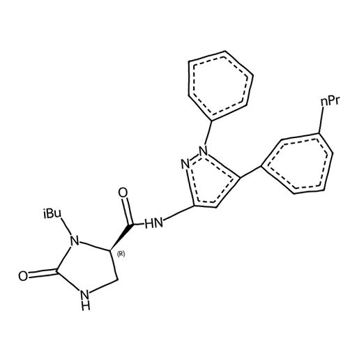 CCCc1cccc(-c2cc(NC(=O)[C@H]3CNC(=O)N3C(C)CC)nn2-c2ccccc2)c1